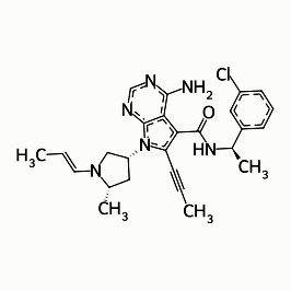 CC#Cc1c(C(=O)N[C@H](C)c2cccc(Cl)c2)c2c(N)ncnc2n1[C@@H]1C[C@H](C)N(C=CC)C1